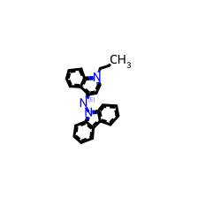 CCCn1cc/c(=N\n2c3ccccc3c3ccccc32)c2ccccc21